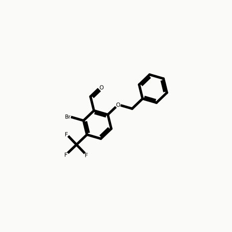 O=Cc1c(OCc2ccccc2)ccc(C(F)(F)F)c1Br